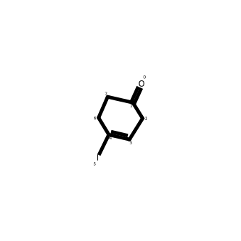 O=C1CC=C(I)CC1